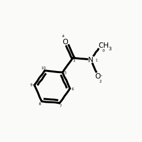 CN([O])C(=O)c1ccccc1